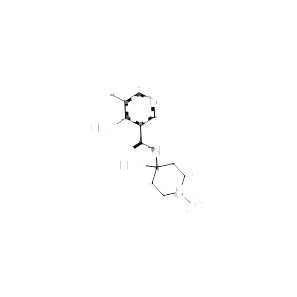 Cc1c(Cl)cncc1C(=O)NC1(C)CCN(C(C)C)CC1